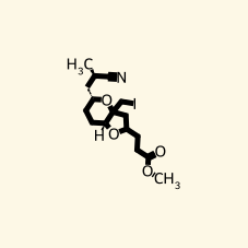 COC(=O)CCC1CC2(CI)O[C@@H](C[C@@H](C)C#N)CC[C@@H]2O1